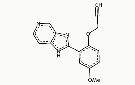 C#CCOc1ccc(OC)cc1-c1nc2cnccc2[nH]1